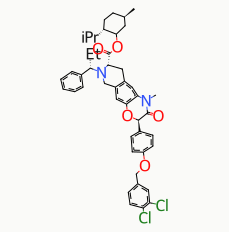 CC[C@@H](c1ccccc1)N1Cc2cc3c(cc2C[C@H]1C(=O)OC1C[C@H](C)CC[C@H]1C(C)C)N(C)C(=O)[C@@H](c1ccc(OCc2ccc(Cl)c(Cl)c2)cc1)O3